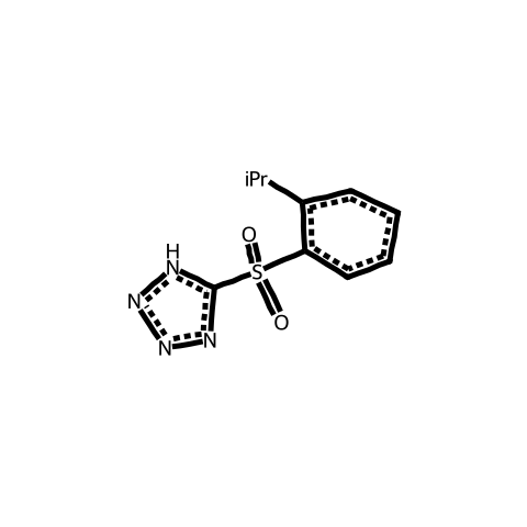 CC(C)c1ccccc1S(=O)(=O)c1nnn[nH]1